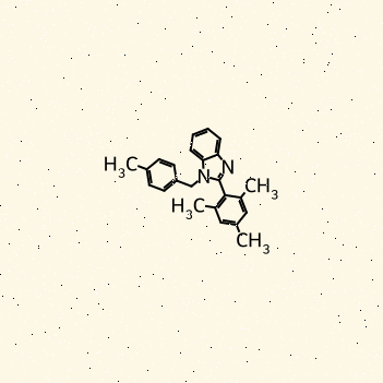 Cc1ccc(Cn2c(-c3c(C)cc(C)cc3C)nc3ccccc32)cc1